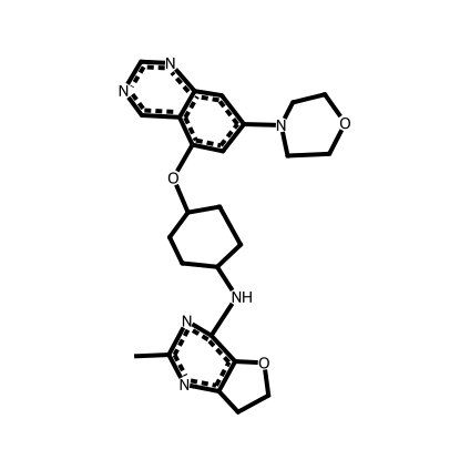 Cc1nc2c(c(NC3CCC(Oc4cc(N5CCOCC5)cc5ncncc45)CC3)n1)OCC2